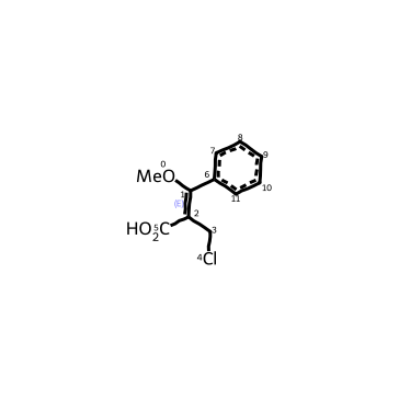 CO/C(=C(/CCl)C(=O)O)c1ccccc1